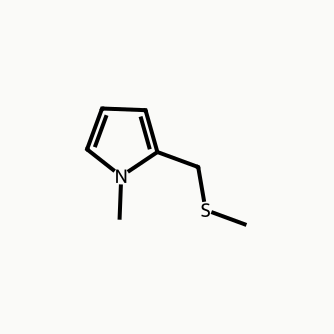 CSCc1cccn1C